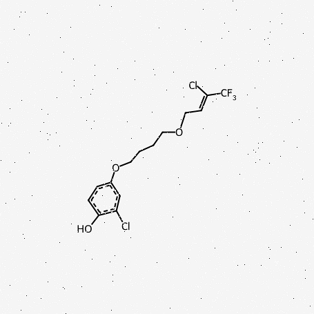 Oc1ccc(OCCCCOCC=C(Cl)C(F)(F)F)cc1Cl